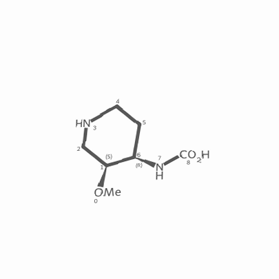 CO[C@H]1CNCC[C@H]1NC(=O)O